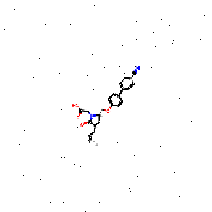 C=CC[C@@H]1C[C@@H](COc2ccc(-c3ccc(C#N)cc3)cc2)N(CC(=O)O)C1=O